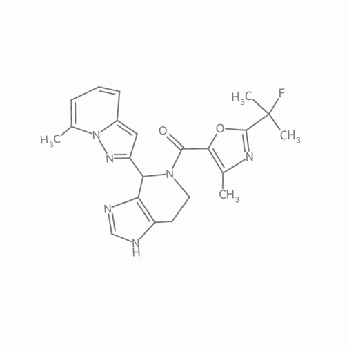 Cc1nc(C(C)(C)F)oc1C(=O)N1CCc2[nH]cnc2C1c1cc2cccc(C)n2n1